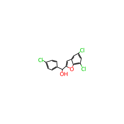 OC(c1ccc(Cl)cc1)c1cc2cc(Cl)cc(Cl)c2o1